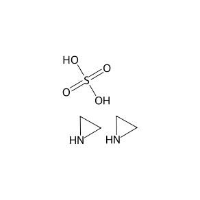 C1CN1.C1CN1.O=S(=O)(O)O